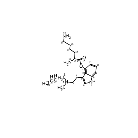 CN(C)CCc1c[nH]c2cccc(OC(=O)[C@@H](N)CCCCN)c12.Cl.Cl.Cl